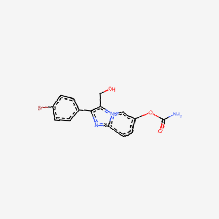 NC(=O)Oc1ccc2nc(-c3ccc(Br)cc3)c(CO)n2c1